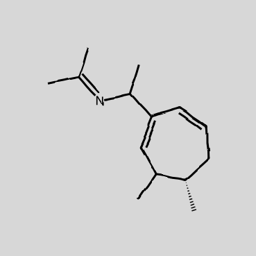 CC(C)=NC(C)C1=CC(C)[C@@H](C)CC=C1